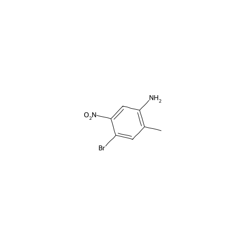 Cc1cc(Br)c([N+](=O)[O-])cc1N